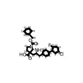 N[C@@H](Cc1ccc(-c2cc(Cl)ccc2F)cc1)CC1(C(=O)O)CCN(C(=O)OCc2ccccc2)C1